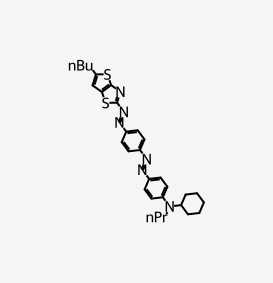 CCCCc1cc2sc(N=Nc3ccc(N=Nc4ccc(N(CCC)C5CCCCC5)cc4)cc3)nc2s1